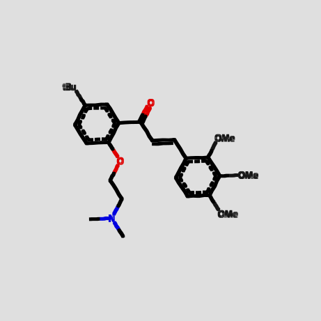 COc1ccc(/C=C/C(=O)c2cc(C(C)(C)C)ccc2OCCN(C)C)c(OC)c1OC